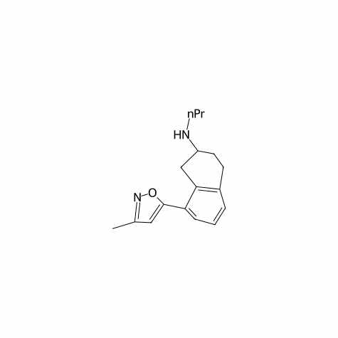 CCCNC1CCc2cccc(-c3cc(C)no3)c2C1